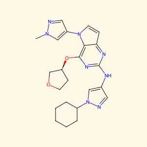 Cn1cc(-n2ccc3nc(Nc4cnn(C5CCCCC5)c4)nc(O[C@H]4CCOC4)c32)cn1